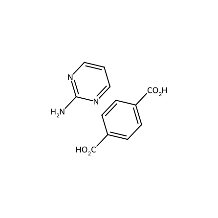 Nc1ncccn1.O=C(O)c1ccc(C(=O)O)cc1